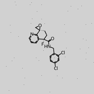 O=C(NCc1ccc(Cl)cc1Cl)[C@]1(F)CC[C@@]2(CO2)c2ncccc21